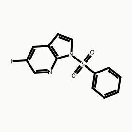 O=S(=O)(c1ccccc1)n1ccc2cc(I)cnc21